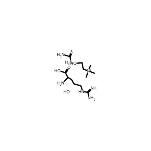 C[N+](C)(C)CCO.N=C(N)NCCCC(N)C(=O)O.NC(N)=S.[OH-]